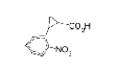 O=C(O)C1CC1c1ccccc1[N+](=O)[O-]